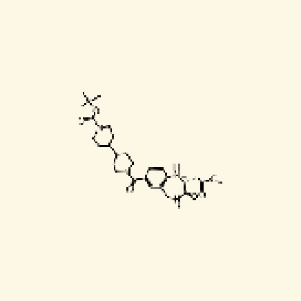 COC(=O)C[C@H]1Nc2ccc(C(=O)N3CCC(C4CCN(C(=O)OC(C)(C)C)CC4)CC3)cc2CN(C)C1=O